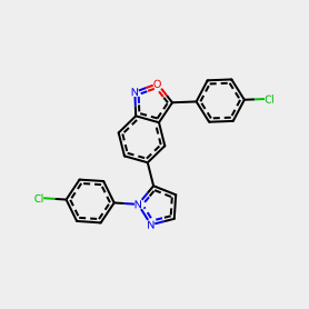 Clc1ccc(-c2onc3ccc(-c4ccnn4-c4ccc(Cl)cc4)cc23)cc1